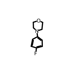 Fc1ccc(N2CCOCC2)cc1